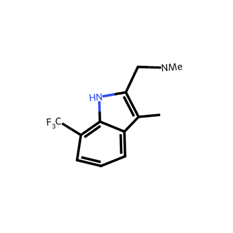 CNCc1[nH]c2c(C(F)(F)F)cccc2c1C